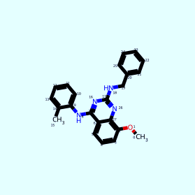 COc1cccc2c(Nc3ccccc3C)nc(NCc3ccccc3)nc12